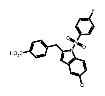 O=C(O)c1ccc(Cc2cc3cc(Cl)ccc3n2S(=O)(=O)c2ccc(F)cc2)cc1